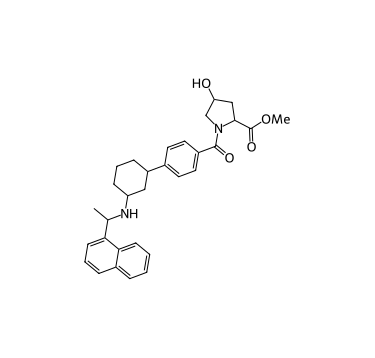 COC(=O)C1CC(O)CN1C(=O)c1ccc(C2CCCC(NC(C)c3cccc4ccccc34)C2)cc1